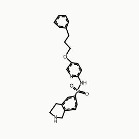 O=S(=O)(Nc1ccc(OCCCc2ccccc2)cn1)c1ccc2c(c1)CCNC2